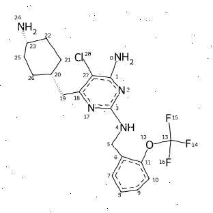 Nc1nc(NCc2ccccc2OC(F)(F)F)nc(C[C@H]2CC[C@@H](N)CC2)c1Cl